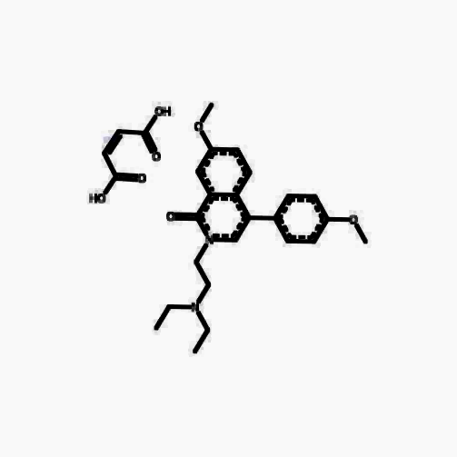 CCN(CC)CCn1cc(-c2ccc(OC)cc2)c2ccc(OC)cc2c1=O.O=C(O)/C=C\C(=O)O